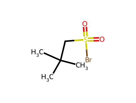 CC(C)(C)CS(=O)(=O)Br